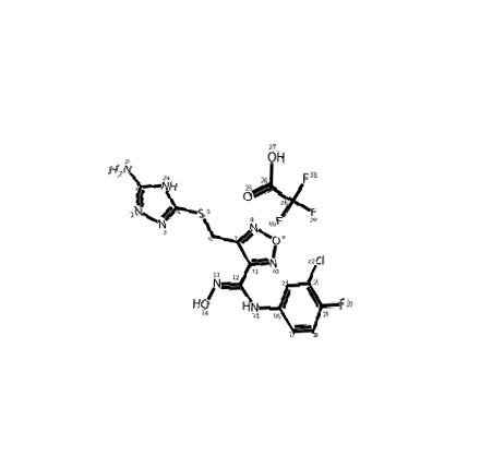 Nc1nnc(SCc2nonc2/C(=N/O)Nc2ccc(F)c(Cl)c2)[nH]1.O=C(O)C(F)(F)F